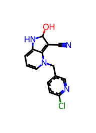 N#CC1=C2C(=CC=CN2Cc2ccc(Cl)nc2)NC1O